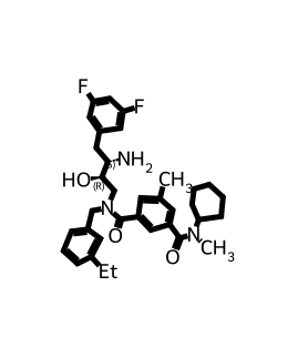 CCc1cccc(CN(C[C@@H](O)[C@@H](N)Cc2cc(F)cc(F)c2)C(=O)c2cc(C)cc(C(=O)N(C)C3CCCCC3)c2)c1